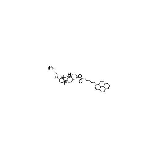 CC(C)CCC[C@@H](C)C1CC[C@H]2[C@@H]3CC=C4C[C@@H](OC(=O)CCCCCc5ccc6ccc7cccc8ccc5c6c78)CC[C@]4(C)[C@H]3CC[C@]12C